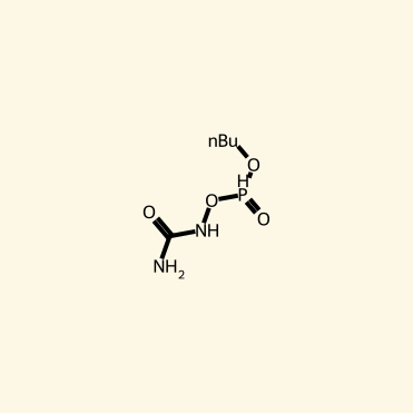 CCCCO[PH](=O)ONC(N)=O